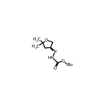 CC(C)(C)OC(=O)NN=C1COC(C)(C)C1